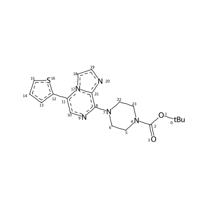 CC(C)(C)OC(=O)N1CCN(c2ncc(-c3cccs3)n3ccnc23)CC1